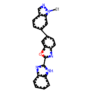 CCn1ncc2ccc(-c3ccc4nc(-c5nc6ccccc6[nH]5)oc4c3)cc21